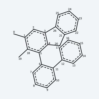 Cc1cc2c(c(-c3ccccc3-c3ccccc3)c1C)Cc1ccccc1-2